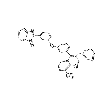 FC(F)(F)c1cccc2c(-c3cccc(Oc4cccc(-c5nc6ccccc6[nH]5)c4)c3)c(Cc3ccccc3)cnc12